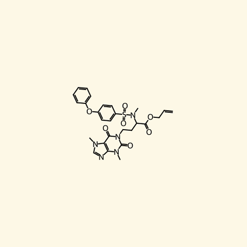 C=CCOC(=O)C(CCn1c(=O)c2c(ncn2C)n(C)c1=O)N(C)S(=O)(=O)c1ccc(Oc2ccccc2)cc1